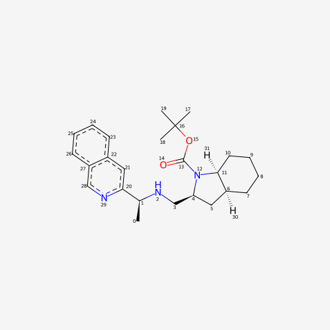 C[C@H](NC[C@@H]1C[C@@H]2CCCC[C@@H]2N1C(=O)OC(C)(C)C)c1cc2ccccc2cn1